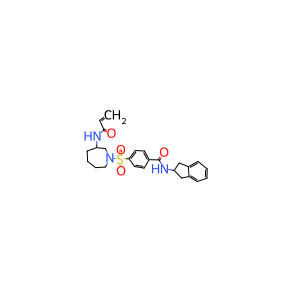 C=CC(=O)NC1CCCCN(S(=O)(=O)c2ccc(C(=O)NC3Cc4ccccc4C3)cc2)C1